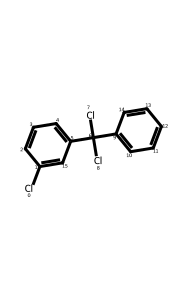 Clc1cccc(C(Cl)(Cl)c2ccccc2)c1